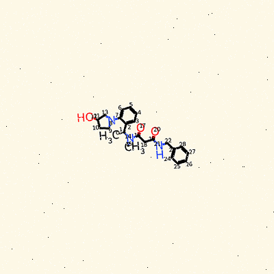 C[C@@H](c1ccccc1N1CCC(O)C1)N(C)C(=O)CC(=O)NCc1ccccc1